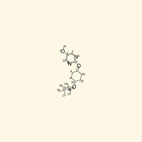 COc1cnc(OC2CCC(O[Si](C)(C)C(C)(C)C)CC2)nc1